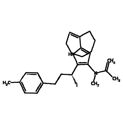 C=C(C)N(C)c1cc(/C2=C\CCCCCC2)[nH]c1[C@H](I)CCc1ccc(C)cc1